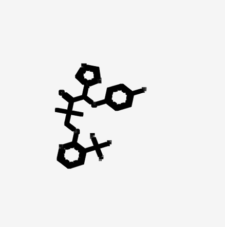 CC(C)(COc1ncccc1C(F)(F)F)C(=O)C(Oc1ccc(F)cc1)n1cncn1